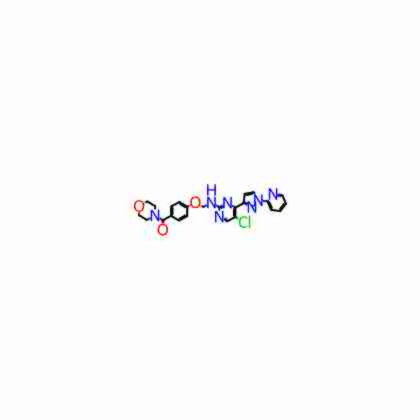 O=C(c1ccc(OCNc2ncc(Cl)c(-c3ccn(-c4ccccn4)n3)n2)cc1)N1CCOCC1